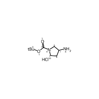 CC(C)(C)OC(=O)N1CCC(N)C1.Cl